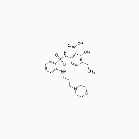 CCc1ccc(NS(=O)(=O)c2ccccc2NCCCN2CCOCC2)c(C(=O)O)c1O